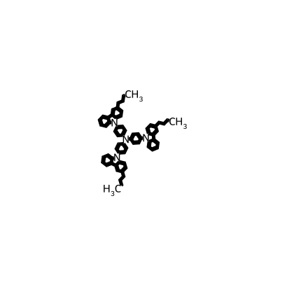 CCCCc1ccc2c(c1)c1ccccc1n2-c1ccc(N(c2ccc(-n3c4ccccc4c4cc(CCCC)ccc43)cc2)c2ccc(-n3c4ccccc4c4cc(CCCC)ccc43)cc2)cc1